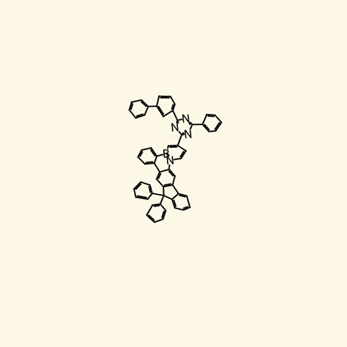 C1=CN2B(C=C1c1nc(-c3ccccc3)nc(-c3cccc(-c4ccccc4)c3)n1)c1ccccc1-c1cc3c(cc12)-c1ccccc1C3(c1ccccc1)c1ccccc1